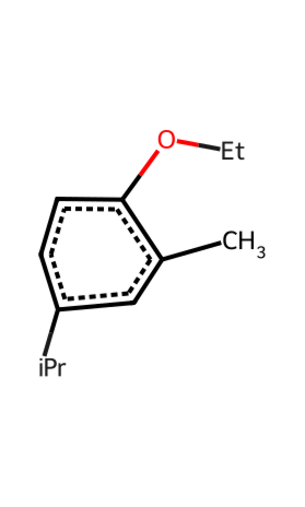 [CH2]C(C)c1ccc(OCC)c(C)c1